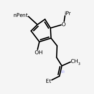 CC/C=C(/C)CCc1c(O)cc(CCCCC)cc1OC(C)C